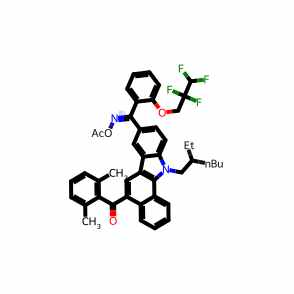 CCCCC(CC)Cn1c2ccc(/C(=N\OC(C)=O)c3ccccc3OCC(F)(F)C(F)F)cc2c2cc(C(=O)c3c(C)cccc3C)c3ccccc3c21